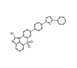 CCc1nc2cccc3c2n1-c1ccc(-c2ccc(-c4ccc(-c5ccccc5)s4)cc2)cc1S3(=O)=O